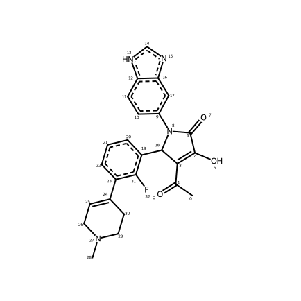 CC(=O)C1=C(O)C(=O)N(c2ccc3[nH]cnc3c2)C1c1cccc(C2=CCN(C)CC2)c1F